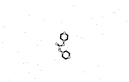 O=[PH](ON1CCOCC1)ON1CCOCC1